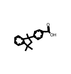 CC1(C)CC(C)(c2ccc(C(=O)O)cc2)c2ccccc21